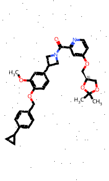 COc1cc(C2CN(C(=O)c3cc(OC[C@H]4COC(C)(C)O4)ccn3)C2)ccc1OCc1ccc(C2CC2)cc1